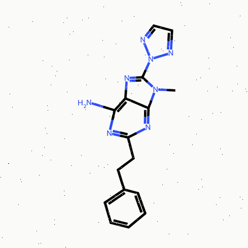 Cn1c(-n2nccn2)nc2c(N)nc(CCc3ccccc3)nc21